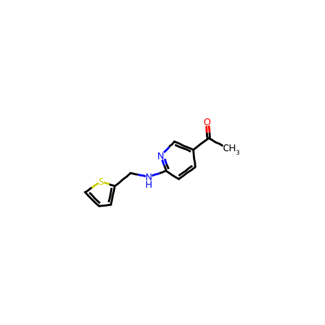 CC(=O)c1ccc(NCc2cccs2)nc1